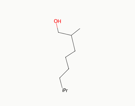 CC(C)CCCCC(C)CO